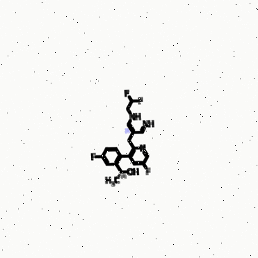 C[C@@H](O)c1cc(F)ccc1-c1cc(F)cnc1C/C(C=N)=C/NCC(F)F